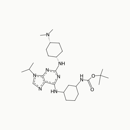 CC(C)n1cnc2c(NC3CCCC(NC(=O)OC(C)(C)C)C3)nc(N[C@H]3CC[C@@H](N(C)C)CC3)nc21